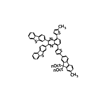 CCCCCCCCC1(CCCCCCCC)c2cc(C)ccc2-c2ccc(-c3ccc(-c4ccc(-c5ccc(C)s5)c5nc(-c6ccc7c(c6)sc6ccccc67)c(-c6ccc7c(c6)sc6ccccc67)nc45)s3)cc21